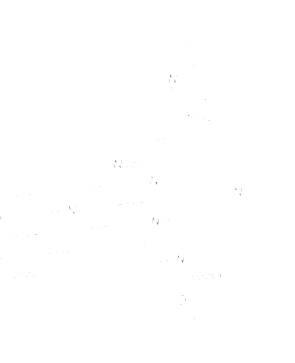 Cc1cccc2cccc(N3CCc4c(nc(OCC5(CN6CCCC6)CC5)nc4N4CCN(C(=O)OC(C)(C)C)[C@@H](CC#N)C4)C3)c12